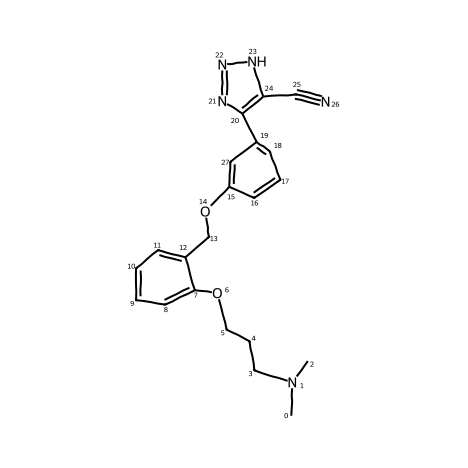 CN(C)CCCOc1ccccc1COc1cccc(-c2nn[nH]c2C#N)c1